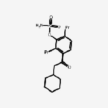 CC(C)c1ccc(C(=O)CC2CCCCC2)c(C(C)C)c1OS(N)(=O)=O